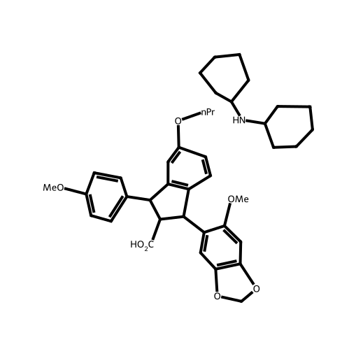 C1CCC(NC2CCCCC2)CC1.CCCOc1ccc2c(c1)C(c1ccc(OC)cc1)C(C(=O)O)C2c1cc2c(cc1OC)OCO2